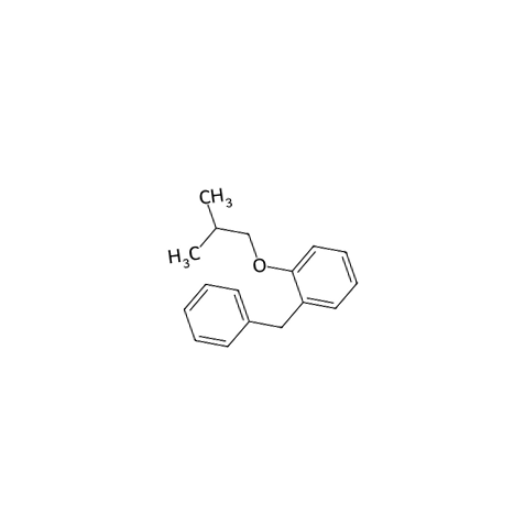 CC(C)COc1ccccc1Cc1ccccc1